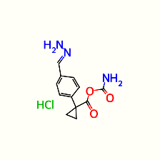 Cl.NN=Cc1ccc(C2(C(=O)OC(N)=O)CC2)cc1